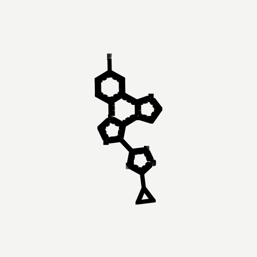 Fc1ccc2c(c1)c1nccn1c1c(-c3noc(C4CC4)n3)ncn21